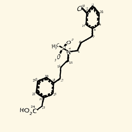 CS(=O)(=O)N(CCCc1cccc(Cl)c1)CCCc1cccc(CC(=O)O)c1